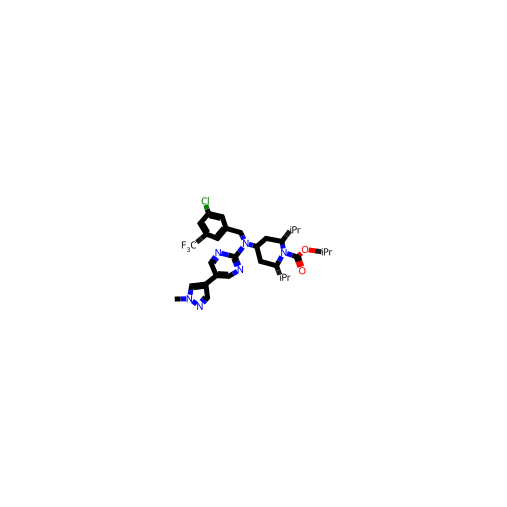 CC(C)OC(=O)N1C(C(C)C)CC(N(Cc2cc(Cl)cc(C(F)(F)F)c2)c2ncc(-c3cnn(C)c3)cn2)CC1C(C)C